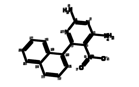 Nc1nc(N)c([N+](=O)[O-])c(-c2cccc3ccccc23)n1